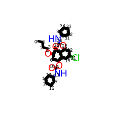 CCCCOc1cc(OC(=O)Nc2ccccc2)c2cc(Cl)ccc2c1OC(=O)Nc1ccccc1